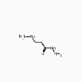 NNCCC(=O)NN